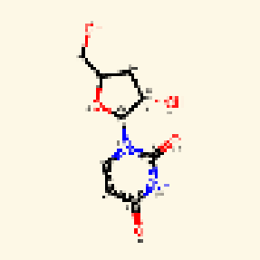 O=c1ccn([C@H]2OC(CO)C[C@@H]2O)c(=O)[nH]1